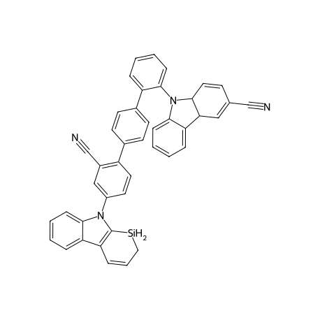 N#CC1=CC2c3ccccc3N(c3ccccc3-c3ccc(-c4ccc(-n5c6c(c7ccccc75)C=CC[SiH2]6)cc4C#N)cc3)C2C=C1